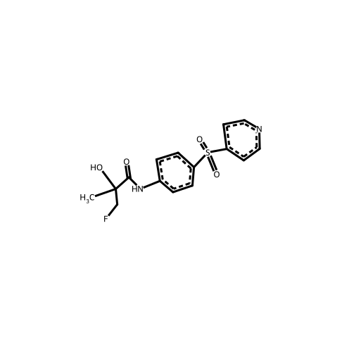 CC(O)(CF)C(=O)Nc1ccc(S(=O)(=O)c2ccncc2)cc1